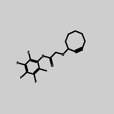 Cc1c(F)c(F)c(F)c(F)c1OC(=O)COC1C#CCCCCC1